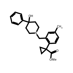 COC(=O)C1(c2ccc(C)cc2CN2CCC(O)(c3ccccc3)CC2)CC1